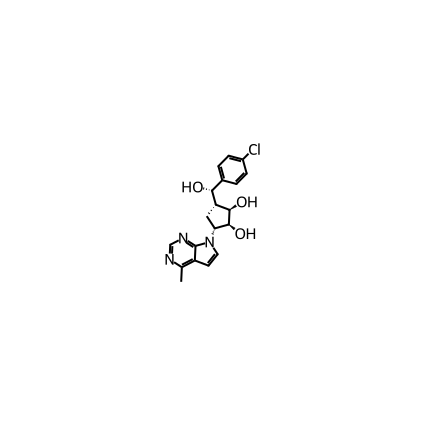 Cc1ncnc2c1ccn2[C@@H]1C[C@H]([C@H](O)c2ccc(Cl)cc2)[C@@H](O)[C@H]1O